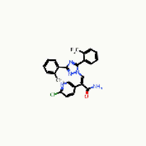 NC(=O)/C(=C/n1nc(-c2ccccc2C(F)(F)F)nc1-c1ccccc1C(F)(F)F)c1ccc(Cl)nc1